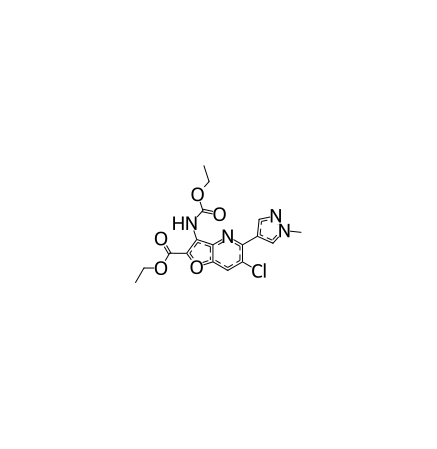 CCOC(=O)Nc1c(C(=O)OCC)oc2cc(Cl)c(-c3cnn(C)c3)nc12